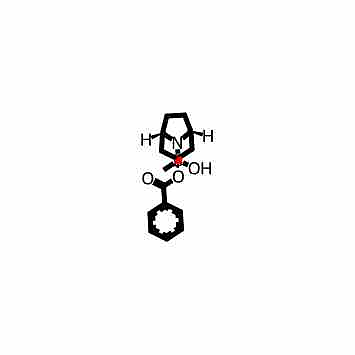 CB(O)N1[C@@H]2CC[C@H]1C[C@@H](OC(=O)c1ccccc1)C2